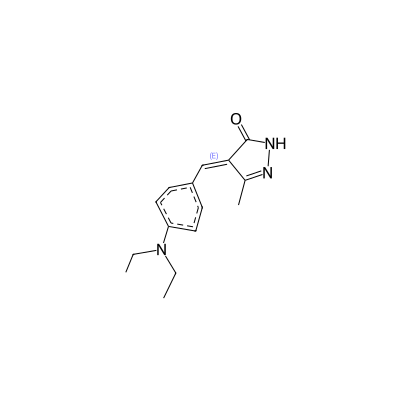 CCN(CC)c1ccc(/C=C2/C(=O)NN=C2C)cc1